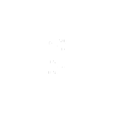 CCC(N)(CC)CCNC(N)=O